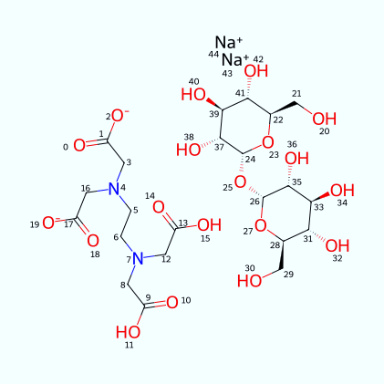 O=C([O-])CN(CCN(CC(=O)O)CC(=O)O)CC(=O)[O-].OC[C@H]1O[C@H](O[C@H]2O[C@H](CO)[C@@H](O)[C@H](O)[C@H]2O)[C@H](O)[C@@H](O)[C@@H]1O.[Na+].[Na+]